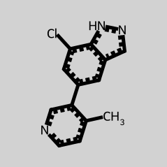 Cc1ccncc1-c1cc(Cl)c2[nH]ncc2c1